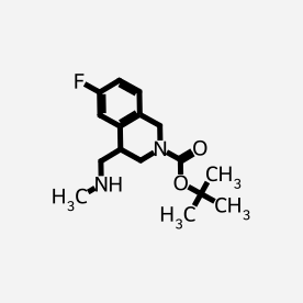 CNCC1CN(C(=O)OC(C)(C)C)Cc2ccc(F)cc21